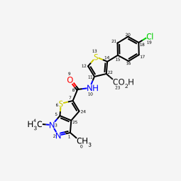 Cc1nn(C)c2sc(C(=O)Nc3csc(-c4ccc(Cl)cc4)c3C(=O)O)cc12